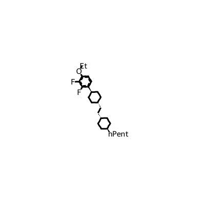 CCCCC[C@H]1CC[C@H](CC[C@H]2CC[C@H](c3ccc(OCC)c(F)c3F)CC2)CC1